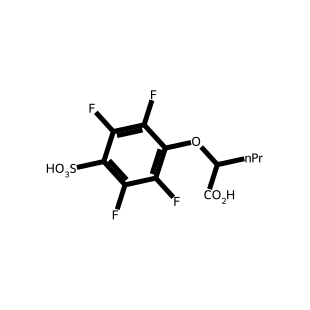 CCCC(Oc1c(F)c(F)c(S(=O)(=O)O)c(F)c1F)C(=O)O